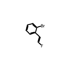 FC=Cc1ccccc1Br